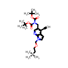 C#Cc1c(CN(C(=O)OC(C)(C)C)C(=O)OC(C)(C)C)cnc2c1ccn2COCC[Si](C)(C)C